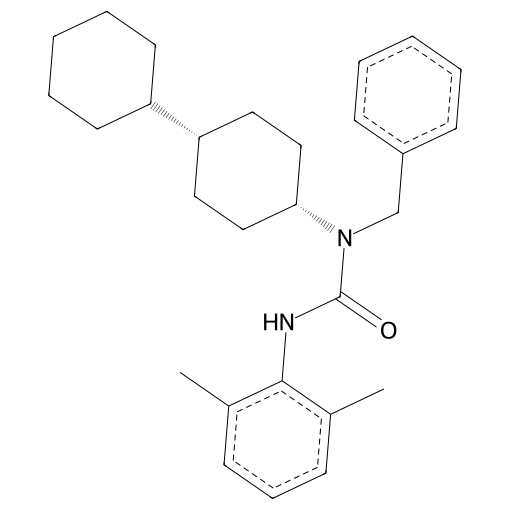 Cc1cccc(C)c1NC(=O)N(Cc1ccccc1)[C@H]1CC[C@@H](C2CCCCC2)CC1